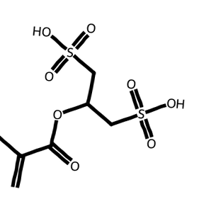 C=C(C)C(=O)OC(CS(=O)(=O)O)CS(=O)(=O)O